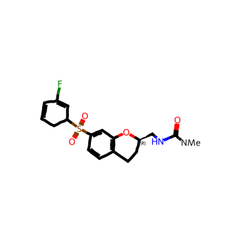 CNC(=O)NC[C@H]1CCc2ccc(S(=O)(=O)C3C=C(F)C=CC3)cc2O1